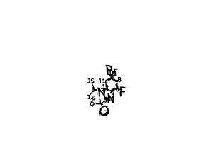 CC(=O)c1nc2c(F)cc(Br)cc2n1C(C)C